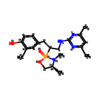 Cc1cc(C)nc(NCC(Cc2ccc(O)c(C)c2)P2(=O)OC[C@H](C)N2C)n1